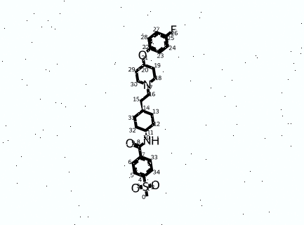 CS(=O)(=O)c1ccc(C(=O)N[C@H]2CC[C@H](CCN3CCC(Oc4ccc(F)cc4)CC3)CC2)cc1